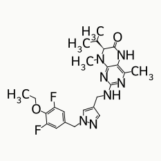 CCOc1c(F)cc(Cn2cc(CNc3nc(C)c4c(n3)N(C)[C@@H](C(C)C)C(=O)N4)cn2)cc1F